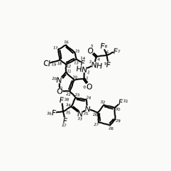 O=C(NNC(=O)C(F)(F)F)c1c(-c2c(F)cccc2Cl)noc1-c1cn(-c2cccc(F)c2)nc1C(F)(F)F